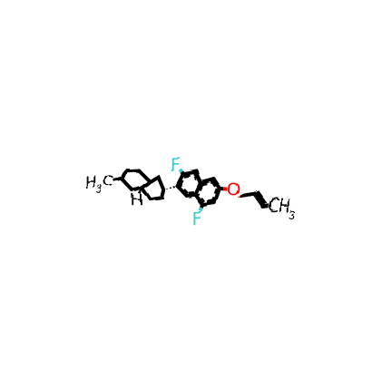 C/C=C/COc1cc(F)c2cc([C@@H]3CC[C@@H]4CC(C)CCC4C3)c(F)cc2c1